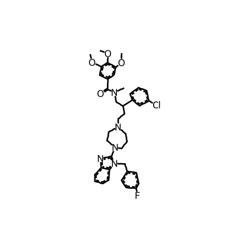 COc1cc(C(=O)N(C)CC(CCN2CCCN(c3nc4ccccc4n3Cc3ccc(F)cc3)CC2)c2cccc(Cl)c2)cc(OC)c1OC